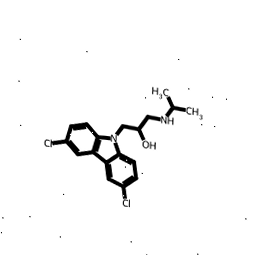 CC(C)NCC(O)Cn1c2ccc(Cl)cc2c2cc(Cl)ccc21